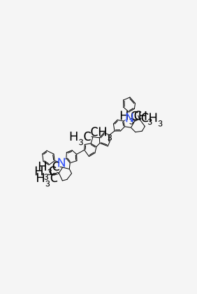 CC1(C)c2cc(-c3ccc4c(c3)C3CCCC(C)(C)C3(C)N4c3ccccc3)ccc2-c2ccc(-c3ccc4c(c3)C3CCCC(C)(C)C3(C)N4c3ccccc3)cc21